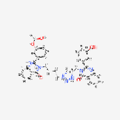 CC(=O)Oc1cccc(-c2nc3ccccc3c(=O)n2CCCCn2cc(Cn3c(-c4cccc(O)c4)nc4ccccc4c3=O)nn2)c1